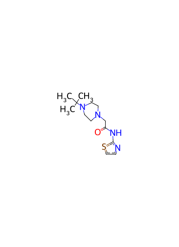 CC(C)(C)N1CCN(CC(=O)Nc2nccs2)CC1